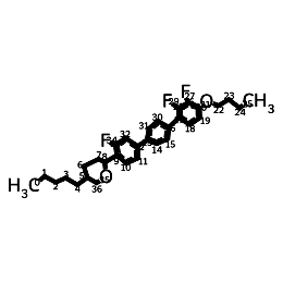 CCCCCC1CCC(c2ccc(-c3ccc(-c4ccc(OCCCC)c(F)c4F)cc3)cc2F)OC1